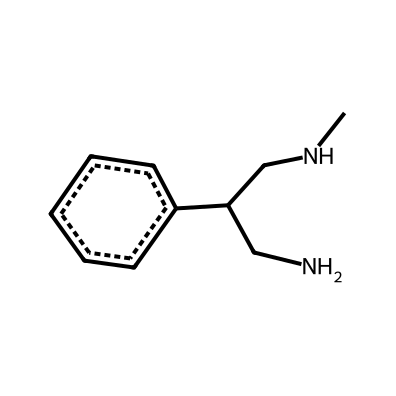 CNCC(CN)c1ccccc1